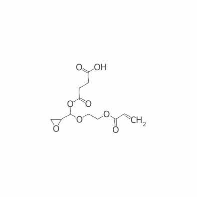 C=CC(=O)OCCOC(OC(=O)CCC(=O)O)C1CO1